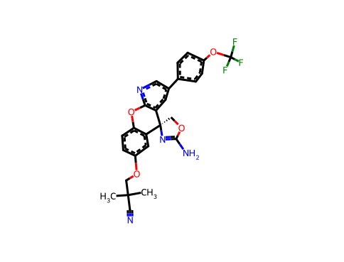 CC(C)(C#N)COc1ccc2c(c1)[C@@]1(COC(N)=N1)c1cc(-c3ccc(OC(F)(F)F)cc3)cnc1O2